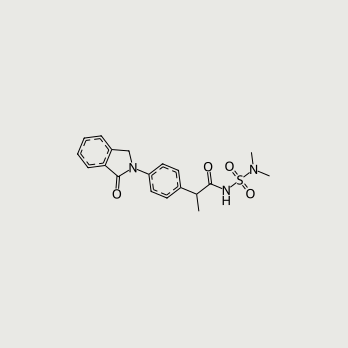 CC(C(=O)NS(=O)(=O)N(C)C)c1ccc(N2Cc3ccccc3C2=O)cc1